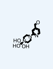 O=Cc1ccnc(N2CCN(C(O)(O)O)CC2)c1